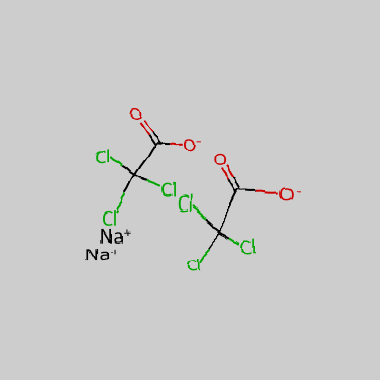 O=C([O-])C(Cl)(Cl)Cl.O=C([O-])C(Cl)(Cl)Cl.[Na+].[Na+]